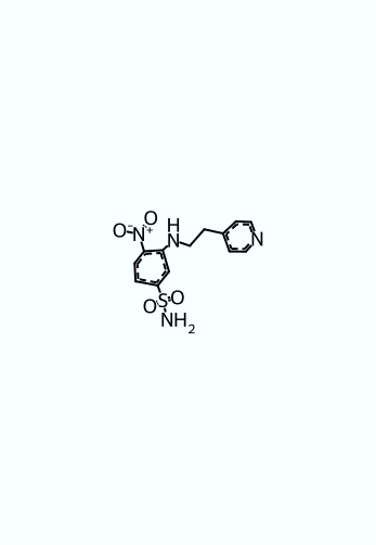 NS(=O)(=O)c1ccc([N+](=O)[O-])c(NCCc2ccncc2)c1